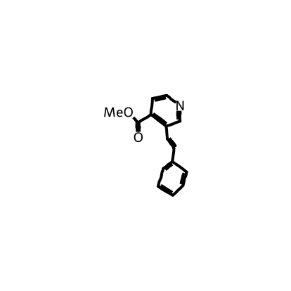 COC(=O)c1ccncc1C=Cc1ccccc1